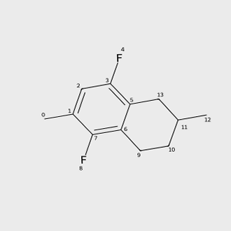 Cc1cc(F)c2c(c1F)CCC(C)C2